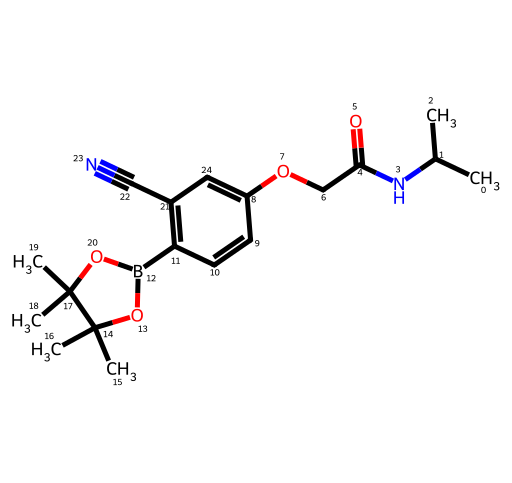 CC(C)NC(=O)COc1ccc(B2OC(C)(C)C(C)(C)O2)c(C#N)c1